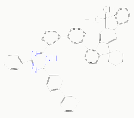 CC1(C)c2ccccc2C2C=C3C(=CC21)c1c(-c2cccc(-c4cccc(C5=NC(C6=CCCC=C6)=NC(C6=CC=C(C7=CC=CCC7)CC6)N5)c4)c2)cccc1C31CCCCC1